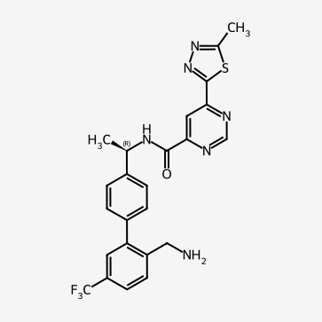 Cc1nnc(-c2cc(C(=O)N[C@H](C)c3ccc(-c4cc(C(F)(F)F)ccc4CN)cc3)ncn2)s1